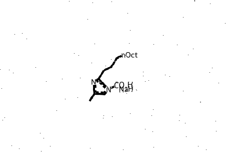 CCCCCCCCCCCc1nc(C)cn1C(=O)O.[NaH]